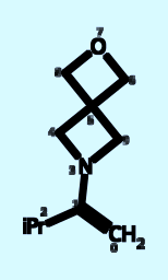 C=C(C(C)C)N1CC2(COC2)C1